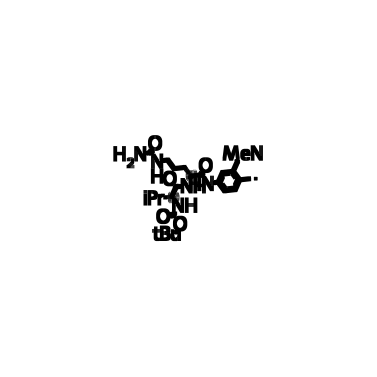 [CH2]c1ccc(NC(=O)[C@H](CCCNC(N)=O)NC(=O)[C@@H](NC(=O)OC(C)(C)C)C(C)C)cc1CNC